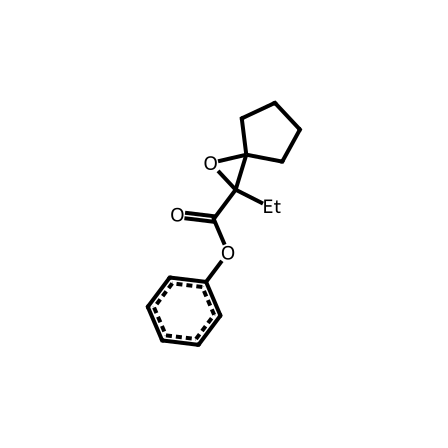 CCC1(C(=O)Oc2ccccc2)OC12CCCC2